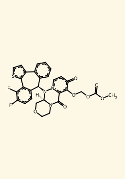 COC(=O)OCOc1c2n(ccc1=O)N([C@@H]1c3ccccc3-c3ccsc3-c3c1ccc(F)c3F)[C@@H]1COCCN1C2=O